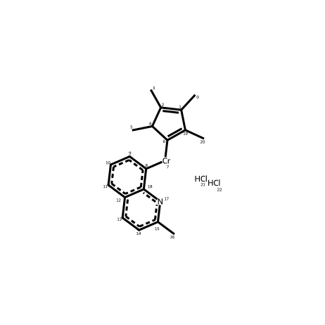 CC1=C(C)C(C)[C]([Cr][c]2cccc3ccc(C)nc23)=C1C.Cl.Cl